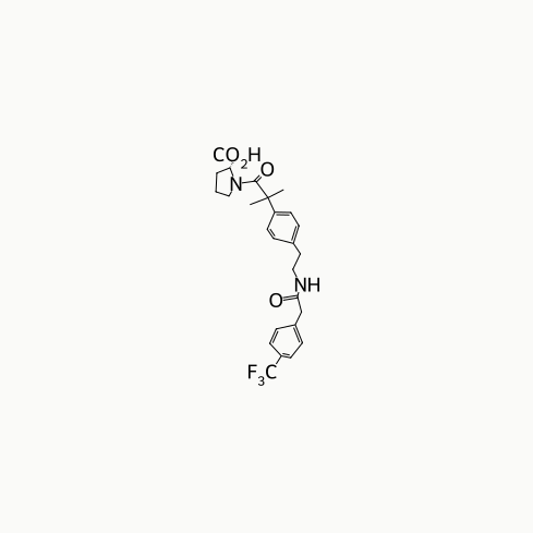 CC(C)(C(=O)N1CCC[C@@H]1C(=O)O)c1ccc(CCNC(=O)Cc2ccc(C(F)(F)F)cc2)cc1